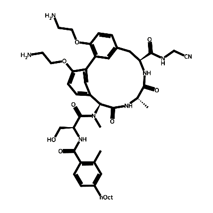 CCCCCCCCc1ccc(C(=O)N[C@@H](CO)C(=O)N(C)[C@@H]2C(=O)N[C@@H](C)C(=O)N[C@H](C(=O)NCC#N)Cc3ccc(OCCN)c(c3)-c3cc2ccc3OCCN)c(C)c1